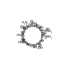 CCCC[C@H]1C(=O)N(C)[C@@H](CCCC)C(=O)N[C@@H](CCCNC(=N)N)C(=O)N[C@H](C(=O)NCC(N)=O)CSCC(=O)N[C@@H](Cc2ccc(O)cc2)C(=O)N(C)[C@@H](C)C(=O)N[C@@H](CC(=O)O)C(=O)N2CCC[C@H]2C(=O)N[C@@H](Cc2c[nH]cn2)C(=O)N[C@@H](CC(C)C)C(=O)N2C[C@H](O)C[C@H]2C(=O)N[C@@H](Cc2c[nH]c3ccccc23)C(=O)N[C@@H](CCCCN)C(=O)N[C@@H](Cc2c[nH]c3ccccc23)C(=O)N1C